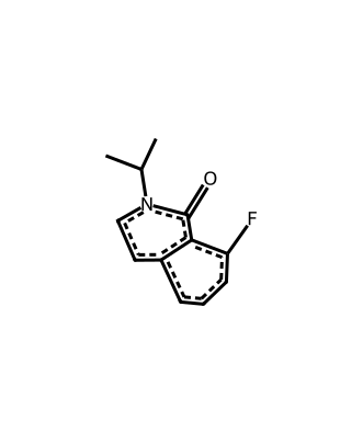 CC(C)n1ccc2cccc(F)c2c1=O